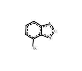 CCC(C)c1cccc2nonc12